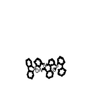 O=P1(c2cccc3c2nc2c4ccccc4c4c(P5(=O)c6ccccc6-c6ccccc65)cccc4n32)c2ccccc2-c2ccccc21